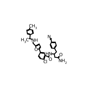 Cc1ccc(C(C)NCc2ccc(-c3ccc(Cl)c(C(=O)NC(CC(N)=O)Cc4ccc(C#N)cc4)c3)o2)cc1